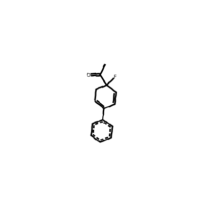 CC(=O)C1(F)C=CC(c2ccccc2)=CC1